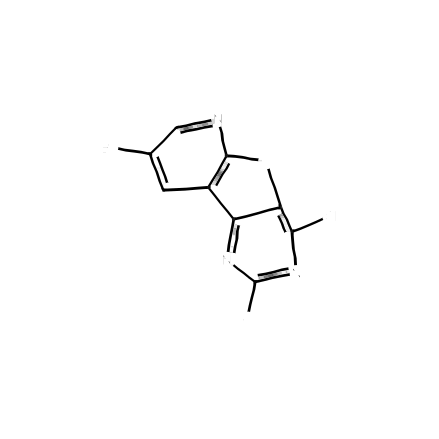 Clc1nc(Cl)c2oc3ncc(Br)cc3c2n1